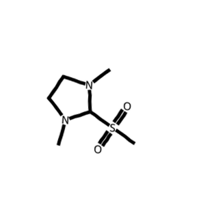 CN1CCN(C)C1S(C)(=O)=O